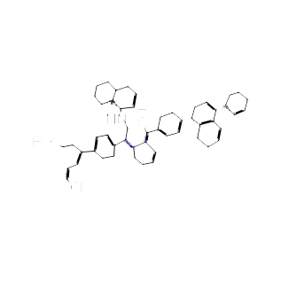 C/C=C\C=C(/CCC)C1=CC=C(/C(CNC2C=CCC3CCCC[C@H]32)=C2\CCC=C\C2=C(\C)C2=CC=C([C@@H]3CC=C([C@H]4C=CCCC4)C4=C3CCC=C4)CC2)CC1